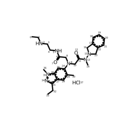 CCNCCNC(=O)CN(CC(=O)N(C)N1Cc2ccccc2C1)c1cc2c(cc1C)c(CC)nn2C.Cl